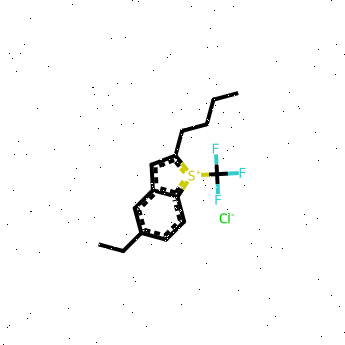 CCCCc1cc2cc(CC)ccc2[s+]1C(F)(F)F.[Cl-]